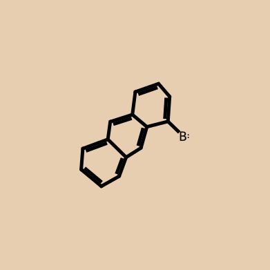 [B]c1cccc2cc3ccccc3cc12